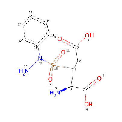 N[C@H](C(=O)O)C(CC(=O)O)S(=O)(=O)N(N)c1ccccc1